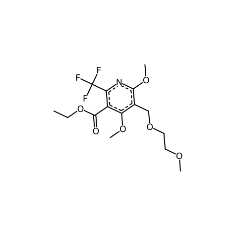 CCOC(=O)c1c(C(F)(F)F)nc(OC)c(COCCOC)c1OC